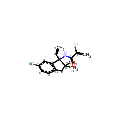 C=CC1(NC(=O)C(=C)F)c2cc(Br)ccc2CC1(C)C